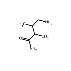 CC(CN)C(C)C(N)=O